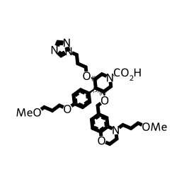 COCCCOc1ccc([C@@H]2[C@@H](OCc3ccc4c(c3)N(CCCOC)CCO4)CN(C(=O)O)C[C@H]2OCCCn2cncn2)cc1